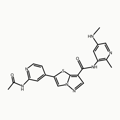 CNc1cnc(C)c(NC(=O)c2cnn3cc(-c4ccnc(NC(C)=O)c4)sc23)c1